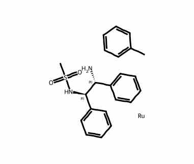 CS(=O)(=O)N[C@H](c1ccccc1)[C@H](N)c1ccccc1.Cc1ccccc1.[Ru]